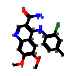 COc1cc2ncc(C(N)=O)c(Nc3ccc(C)cc3Br)c2cc1OC